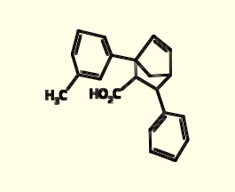 Cc1cccc(C23C=CC(C2)C(c2ccccc2)C3C(=O)O)c1